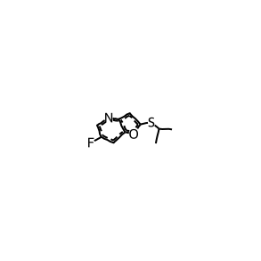 CC(C)Sc1cc2ncc(F)cc2o1